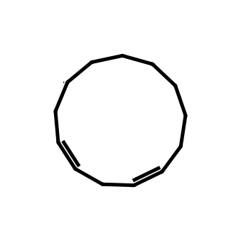 [CH]1CC=CCC=CCCCCCC1